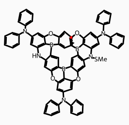 CSN1c2cc3c(cc2B2c4ccccc4Oc4cc(N(c5ccccc5)c5ccccc5)cc1c42)B1c2cc4c(cc2Oc2cc(N(c5ccccc5)c5ccccc5)cc(c21)O3)Nc1cc(N(c2ccccc2)c2ccccc2)cc2c1B4c1ccccc1O2